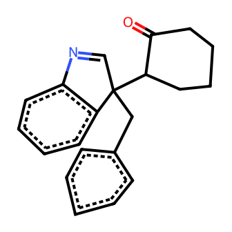 O=C1CCCCC1C1(Cc2ccccc2)C=Nc2ccccc21